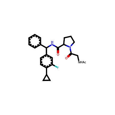 CC(=O)NCC(=O)N1CCCC1C(=O)NC(c1ccccc1)c1ccc(C2CC2)c(F)c1